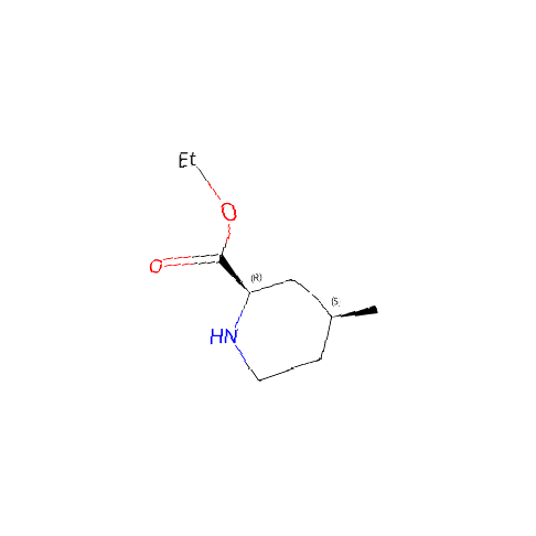 CCOC(=O)[C@H]1C[C@@H](C)CCN1